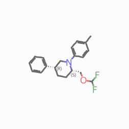 Cc1ccc(N2C[C@@H](c3ccccc3)CC[C@H]2COC(F)F)cc1